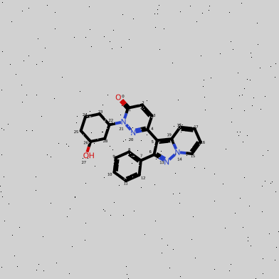 O=c1ccc(-c2c(-c3ccccc3)nn3ccccc23)nn1C1CCCC(O)C1